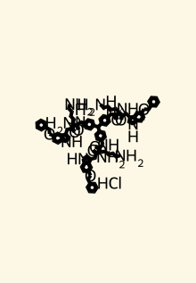 Cl.NCCCC[C@@](N)(C(=O)Cc1c[nH]c2ccc(OCc3ccccc3)cc12)C(=O)Nc1ccc(C(c2ccc(NC(=O)[C@@](N)(CCCCN)C(=O)Cc3c[nH]c4ccc(OCc5ccccc5)cc34)cc2)c2ccc(NC(=O)[C@@](N)(CCCCN)C(=O)Cc3c[nH]c4ccc(OCc5ccccc5)cc34)cc2)cc1